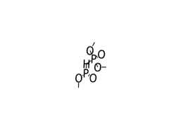 CO[PH](=O)CP(=O)(OC)OC